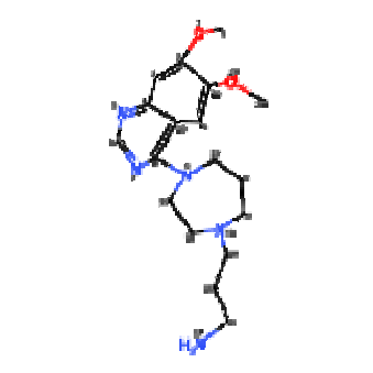 COc1cc2ncnc(N3CCCN(CCCN)CC3)c2cc1OC